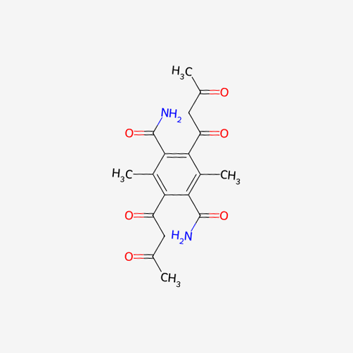 CC(=O)CC(=O)c1c(C)c(C(N)=O)c(C(=O)CC(C)=O)c(C)c1C(N)=O